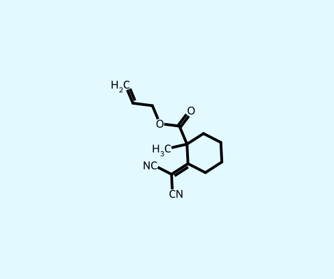 C=CCOC(=O)C1(C)CCCCC1=C(C#N)C#N